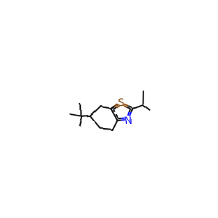 CC(C)c1nc2c(s1)CC(C(C)(C)C)CC2